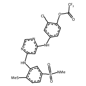 CNS(=O)(=O)c1ccc(SC)c(Nc2cc(Nc3ccc(OC(=O)C(F)(F)F)c(Cl)c3)ncn2)c1